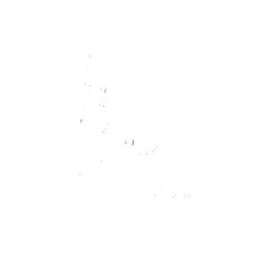 CNS(=O)(=O)c1ccc(Nc2nc(Nc3cc(C4CC4)[nH]n3)c3ccccc3n2)cc1